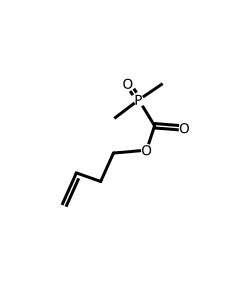 C=CCCOC(=O)P(C)(C)=O